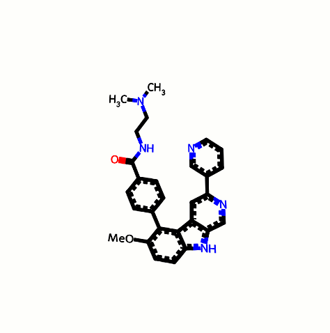 COc1ccc2[nH]c3cnc(-c4cccnc4)cc3c2c1-c1ccc(C(=O)NCCN(C)C)cc1